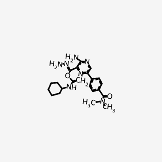 C=C(NC1CCCCC1)O/C(=N\N)c1nc(-c2ccc(C(=O)N(C)C)cc2)cnc1N